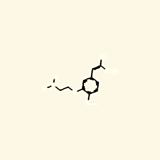 CCN(CC)CCOc1cc(C=C(C#N)C(=O)O)ccc1OC